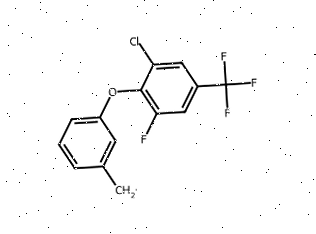 [CH2]c1cccc(Oc2c(F)cc(C(F)(F)F)cc2Cl)c1